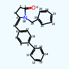 O=C1CCC(=Cc2ccc(-c3ccccc3)cc2)N1Cc1ccccc1